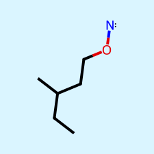 CCC(C)CCO[N]